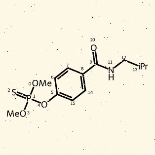 COP(=S)(OC)Oc1ccc(C(=O)NCC(C)C)cc1